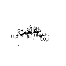 C[C@H](NC(=O)[C@H](C)NC(=O)[C@@H](N)CCP(C)O)C(=O)O.[Na]